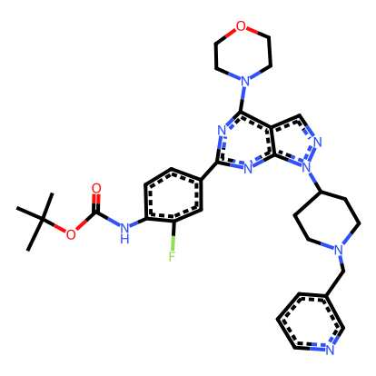 CC(C)(C)OC(=O)Nc1ccc(-c2nc(N3CCOCC3)c3cnn(C4CCN(Cc5cccnc5)CC4)c3n2)cc1F